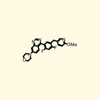 COc1ccc(Cc2cc(-c3ncnc4cc(N5CCOCC5)ccc34)c(F)cc2F)cn1